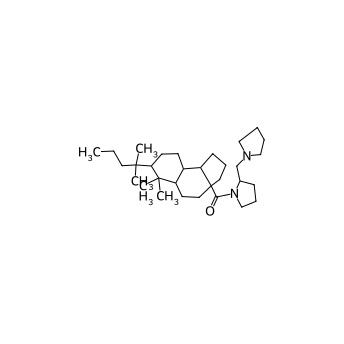 CCCC(C)(C)C1CCC2C3CCCC3(C(=O)N3CCCC3CN3CCCC3)CCC2C1(C)C